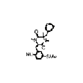 CSc1ccc(C#N)c(C=C2C(=O)N(C)C(C)(Cc3ccccc3)C(=O)N2C)c1